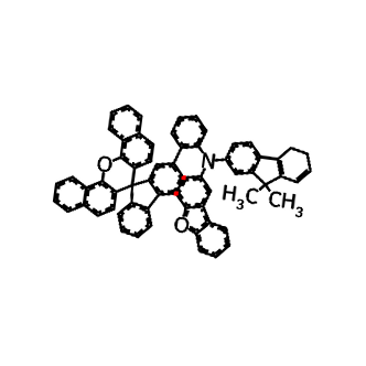 CC1(C)C2=C(CCC=C2)c2ccc(N(c3ccc4oc5ccccc5c4c3)c3ccccc3-c3ccc4c(c3)C3(c5ccccc5-4)c4ccc5ccccc5c4Oc4c3ccc3ccccc43)cc21